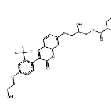 CCC(C)C(=O)OCC(O)COC1=CC2OC(=O)C(c3ccc(OCCO)cc3C(F)(F)F)=CC2C=C1